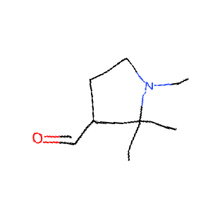 CN1CCC(C=O)C1(C)C